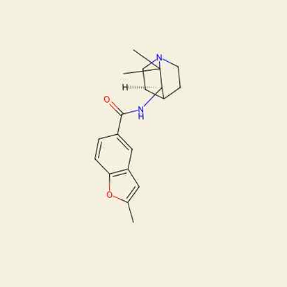 Cc1cc2cc(C(=O)N[C@@H]3C4CCN(CC4)C3(C)C)ccc2o1